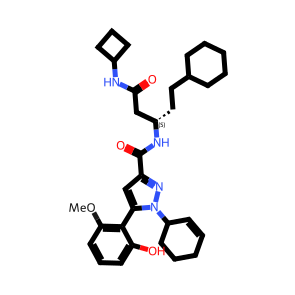 COc1cccc(O)c1-c1cc(C(=O)N[C@@H](CCC2CCCCC2)CC(=O)NC2CCC2)nn1C1C=CCCC1